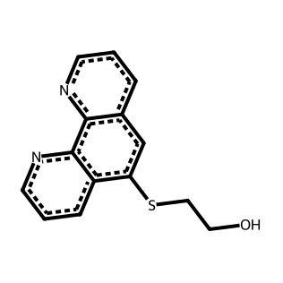 OCCSc1cc2cccnc2c2ncccc12